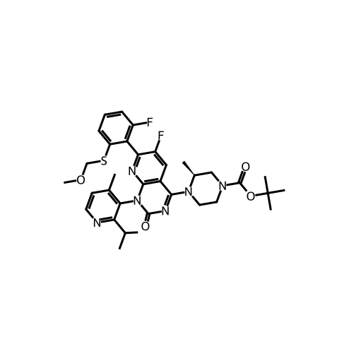 COCSc1cccc(F)c1-c1nc2c(cc1F)c(N1CCN(C(=O)OC(C)(C)C)C[C@@H]1C)nc(=O)n2-c1c(C)ccnc1C(C)C